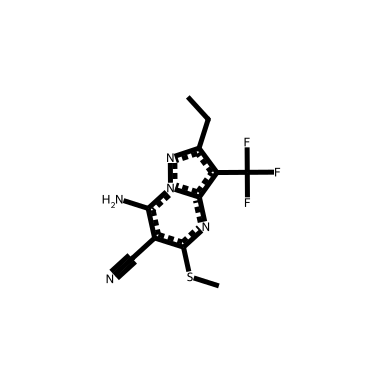 CCc1nn2c(N)c(C#N)c(SC)nc2c1C(F)(F)F